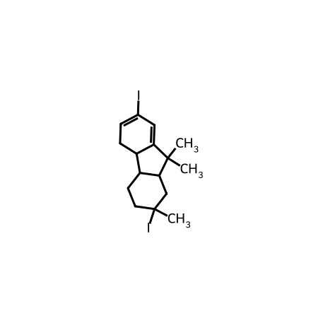 CC1(I)CCC2C3CC=C(I)C=C3C(C)(C)C2C1